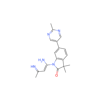 CC(=N)/C=C(\N)N1C(=O)C(C)(C)c2ccc(-c3cnc(C)nc3)cc21